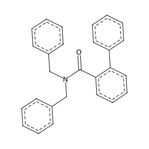 O=C(c1ccccc1-c1ccccc1)N(Cc1ccccc1)Cc1ccccc1